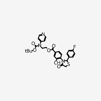 Cc1cc(C(=O)OCCN(C(=O)OC(C)(C)C)c2ccncc2)ccc1N1C(=O)CSC1c1ccc(F)cc1